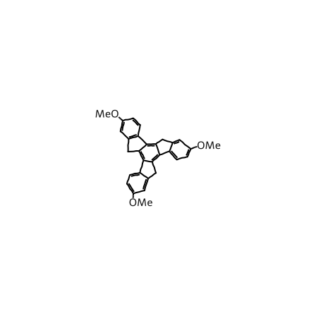 COc1ccc2c(c1)Cc1c-2c2c(c3c1-c1ccc(OC)cc1C3)-c1ccc(OC)cc1C2